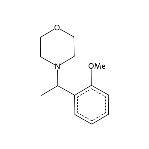 COc1ccccc1C(C)N1CCOCC1